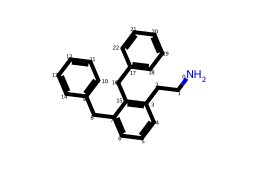 NCCc1cccc(Cc2ccccc2)c1Cc1ccccc1